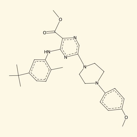 COC(=O)c1ncc(N2CCN(c3ccc(OC)cc3)CC2)nc1Nc1cc(C(C)(C)C)ccc1C